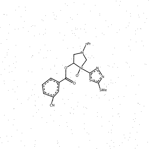 CCCN1CC(OC(=O)c2cccc(C#N)c2)[N+]([O-])(c2nnc(SC)s2)C1